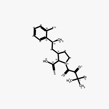 CCC(C)(C)C(=O)C(=O)N1CCC(C[C@H](C)c2ccccc2F)C1C(O)=S